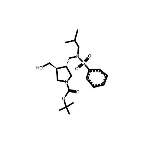 CC(C)CN(C[C@@H]1CN(C(=O)OC(C)(C)C)C[C@H]1CO)S(=O)(=O)c1ccccc1